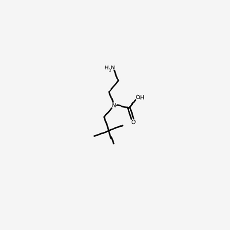 CC(C)(C)CN(CCN)C(=O)O